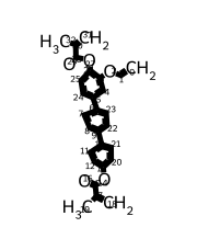 C=COc1cc(-c2ccc(-c3ccc(OC(=O)C(=C)C)cc3)cc2)ccc1OC(=O)C(=C)C